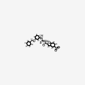 O=C(NC(=S)Nc1cccc(OCc2ccccc2)c1)c1cc2cc([N+](=O)[O-])ccc2o1